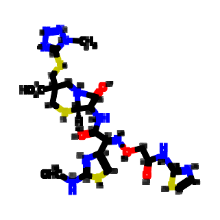 Cn1nnnc1SCC1(C(=O)O)CS[C@@H]2C(NC(=O)C(=NOCC(=O)Nc3nccs3)c3csc(NC=O)n3)C(=O)N2C1